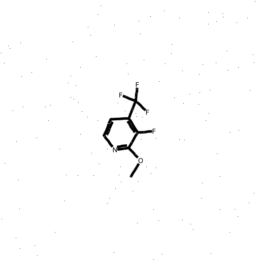 COc1nccc(C(F)(F)F)c1F